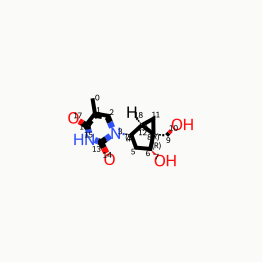 Cc1cn([C@H]2C[C@@H](O)[C@]3(CO)C[C@H]23)c(=O)[nH]c1=O